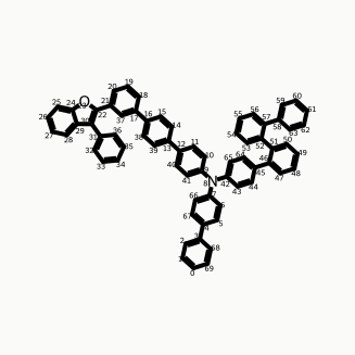 c1ccc(-c2ccc(N(c3ccc(-c4ccc(-c5cccc(-c6oc7ccccc7c6-c6ccccc6)c5)cc4)cc3)c3ccc(-c4ccccc4-c4ccccc4-c4ccccc4)cc3)cc2)cc1